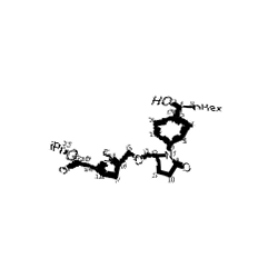 CCCCCC[C@H](O)c1ccc(N2C(=O)CCC2COCc2ccc(C(=O)OC(C)C)s2)cc1